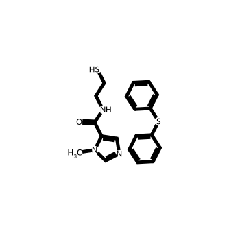 Cn1cncc1C(=O)NCCS.c1ccc(Sc2ccccc2)cc1